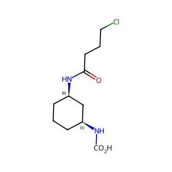 O=C(O)N[C@H]1CCC[C@@H](NC(=O)CCCCl)C1